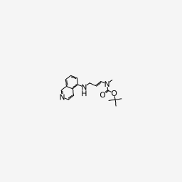 CN(C=CCNc1cccc2cnccc12)C(=O)OC(C)(C)C